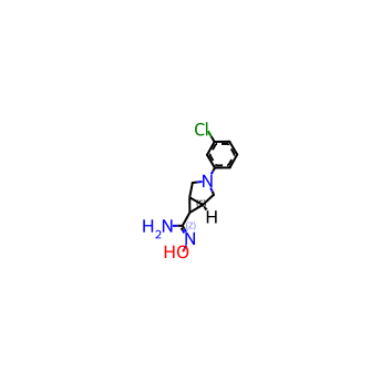 N/C(=N\O)C1C2CN(c3cccc(Cl)c3)C[C@@H]21